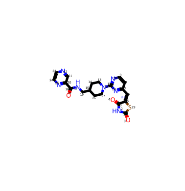 O=C1NC(=O)/C(=C\c2ccnc(N3CCC(CNC(=O)c4cnccn4)CC3)n2)S1